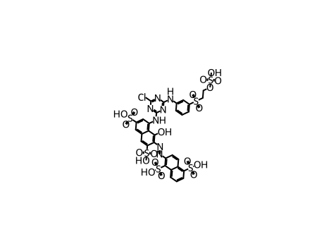 O=S(=O)(O)OCCS(=O)(=O)c1cccc(Nc2nc(Cl)nc(Nc3cc(S(=O)(=O)O)cc4cc(S(=O)(=O)O)c(/N=N/c5ccc6c(S(=O)(=O)O)cccc6c5S(=O)(=O)O)c(O)c34)n2)c1